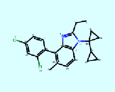 CCc1nc2c(-c3ccc(Cl)cc3Cl)c(C)ccc2n1C1(C2CC2)CC1